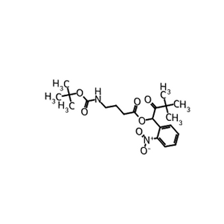 CC(C)(C)OC(=O)NCCCC(=O)OC(C(=O)C(C)(C)C)c1ccccc1[N+](=O)[O-]